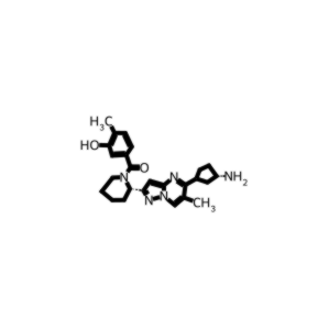 Cc1ccc(C(=O)N2CCCC[C@H]2c2cc3nc(C4CC[C@H](N)C4)c(C)cn3n2)cc1O